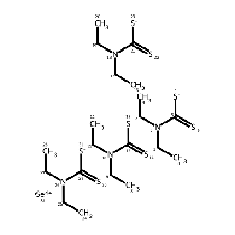 CCN(CC)C(=S)[S-].CCN(CC)C(=S)[S-].CCN(CC)C(=S)[S-].CCN(CC)C(=S)[S-].[Se+4]